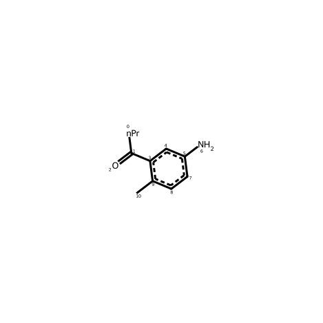 CCCC(=O)c1cc(N)ccc1C